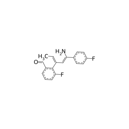 C/C=C(/C=C(\N)c1ccc(F)cc1)c1c(F)cccc1C=O